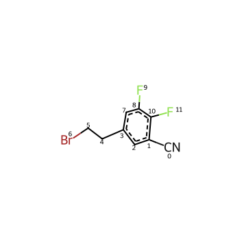 N#Cc1cc(CCBr)cc(F)c1F